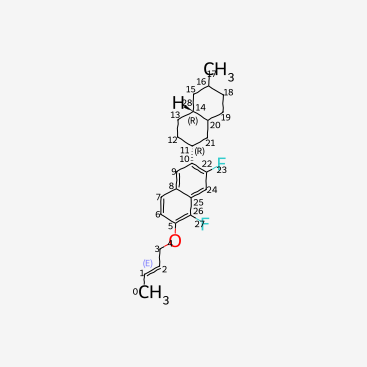 C/C=C/COc1ccc2cc([C@@H]3CC[C@@H]4CC(C)CCC4C3)c(F)cc2c1F